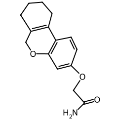 NC(=O)COc1ccc2c(c1)OCC1=C2CCCC1